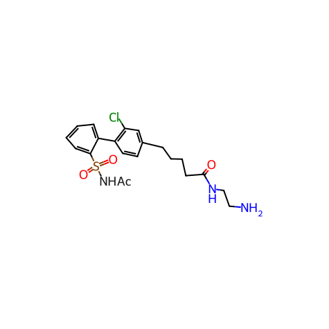 CC(=O)NS(=O)(=O)c1ccccc1-c1ccc(CCCCC(=O)NCCN)cc1Cl